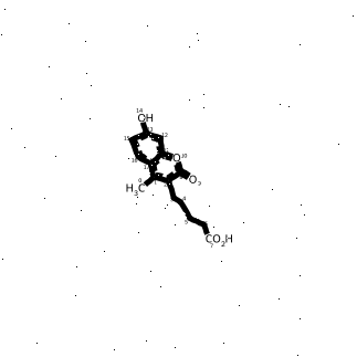 Cc1c(CCCCC(=O)O)c(=O)oc2cc(O)ccc12